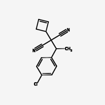 CC(c1ccc(Cl)cc1)C(C#N)(C#N)C1C=CC1